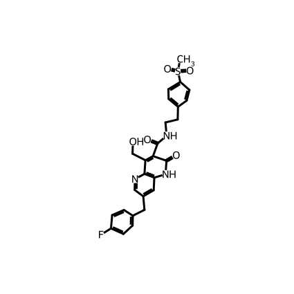 CS(=O)(=O)c1ccc(CCNC(=O)c2c(CO)c3ncc(Cc4ccc(F)cc4)cc3[nH]c2=O)cc1